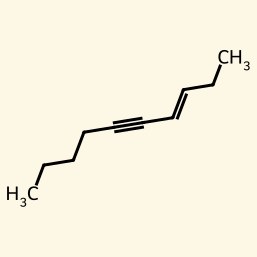 CCC=CC#CCCCC